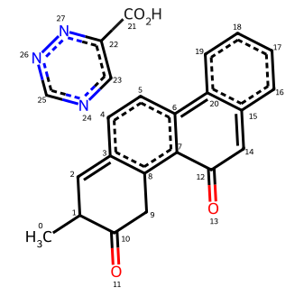 CC1C=c2ccc3c(c2CC1=O)C(=O)C=c1ccccc1=3.O=C(O)c1cncnn1